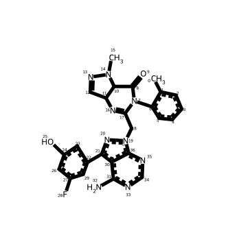 Cc1ccccc1N1C(=O)C2C(C=NN2C)N=C1Cn1nc(-c2cc(O)cc(F)c2)c2c(N)ncnc21